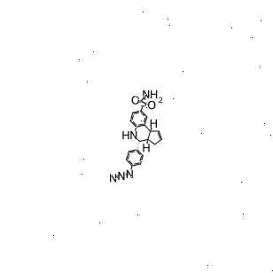 [N-]=[N+]=Nc1ccc([C@@H]2Nc3ccc(S(N)(=O)=O)cc3[C@@H]3C=CC[C@@H]32)cc1